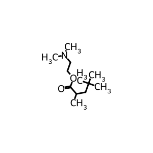 CC(CC(C)(C)C)C(=O)OCCN(C)C